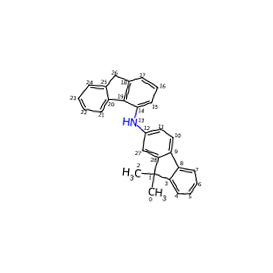 CC1(C)c2ccccc2-c2ccc(Nc3cccc4c3-c3ccccc3C4)cc21